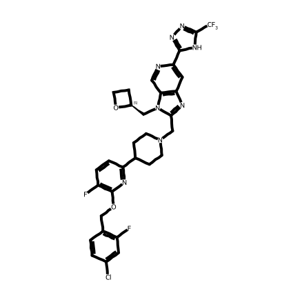 Fc1cc(Cl)ccc1COc1nc(C2CCN(Cc3nc4cc(-c5nnc(C(F)(F)F)[nH]5)ncc4n3C[C@@H]3CCO3)CC2)ccc1F